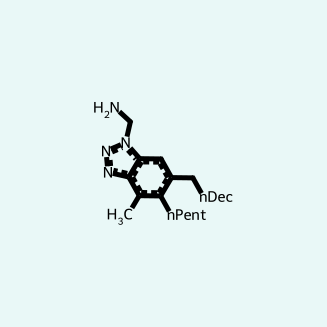 CCCCCCCCCCCc1cc2c(nnn2CN)c(C)c1CCCCC